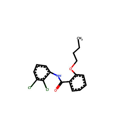 CCCCOc1ccccc1C(=O)Nc1cccc(Cl)c1Cl